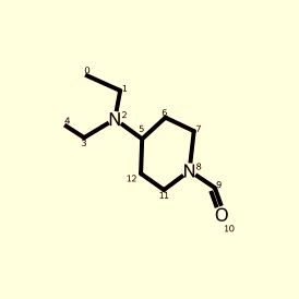 CCN(CC)C1CCN(C=O)CC1